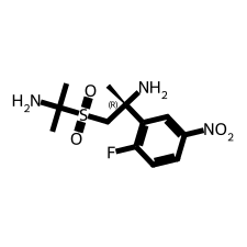 CC(C)(N)S(=O)(=O)C[C@](C)(N)c1cc([N+](=O)[O-])ccc1F